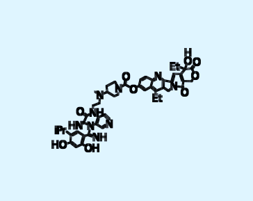 CCc1c2c(nc3ccc(OC(=O)N4CCC(N(C)CCNC(=O)C(=N)N(C(=N)c5cc(C(C)C)c(O)cc5O)c5cccnc5)CC4)cc13)-c1cc3c(c(=O)n1C2)COC(=O)C3(O)CC